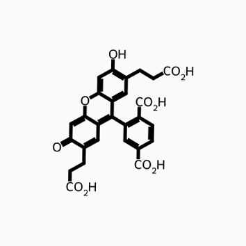 O=C(O)CCc1cc2c(-c3cc(C(=O)O)ccc3C(=O)O)c3cc(CCC(=O)O)c(=O)cc-3oc2cc1O